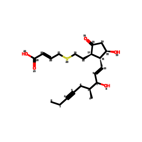 CCC#CC[C@H](C)C(O)/C=C/[C@H]1[C@H](O)CC(=O)[C@@H]1CCSC/C=C/C(=O)O